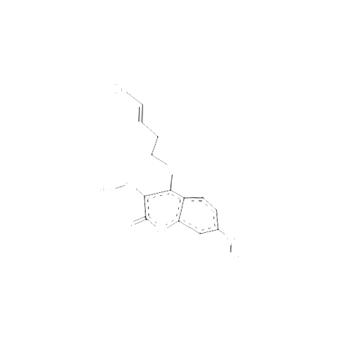 CCC=CCCOc1c(OC(C)C)c(=O)oc2cc(OC(C)C)ccc12